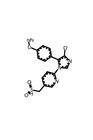 CCCOc1ccc(-c2c(Cl)ncn2-c2ccc(C[SH](=O)=O)cn2)cc1